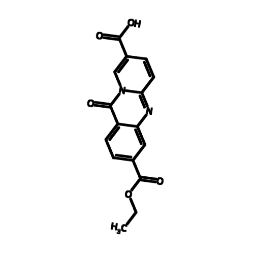 CCOC(=O)c1ccc2c(=O)n3cc(C(=O)O)ccc3nc2c1